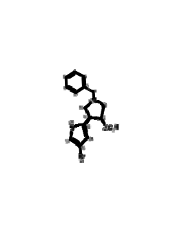 O=C(O)C1CN(Cc2ccccc2)CC1c1cc(Br)cs1